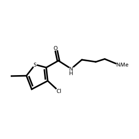 CNCCCNC(=O)c1sc(C)cc1Cl